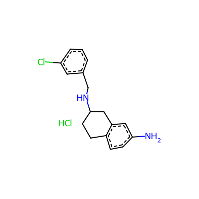 Cl.Nc1ccc2c(c1)CC(NCc1cccc(Cl)c1)CC2